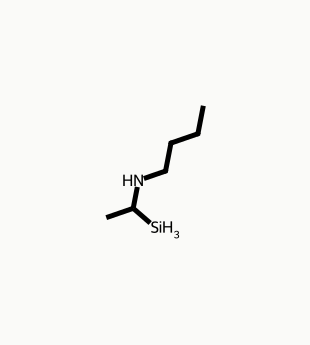 CCCCNC(C)[SiH3]